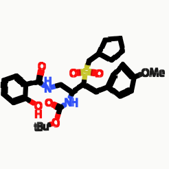 COc1ccc(CC(C(CNC(=O)c2ccccc2O)NC(=O)OC(C)(C)C)S(=O)(=O)CC2CCCC2)cc1